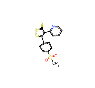 CS(=O)(=O)c1ccc(-c2ssc(=S)c2-c2ccccn2)cc1